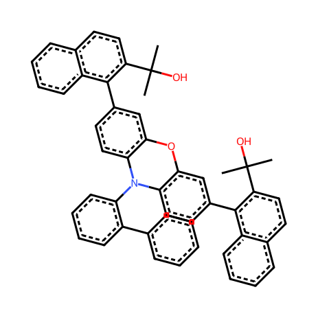 CC(C)(O)c1ccc2ccccc2c1-c1ccc2c(c1)Oc1cc(-c3c(C(C)(C)O)ccc4ccccc34)ccc1N2c1ccccc1-c1ccccc1